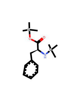 C[Si](C)(C)N[C@@H](Cc1ccccc1)C(=O)O[Si](C)(C)C